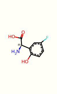 N[C@@H](C(=O)O)c1cc(F)ccc1O